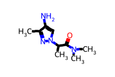 Cc1nn(C(C)C(=O)N(C)C)cc1N